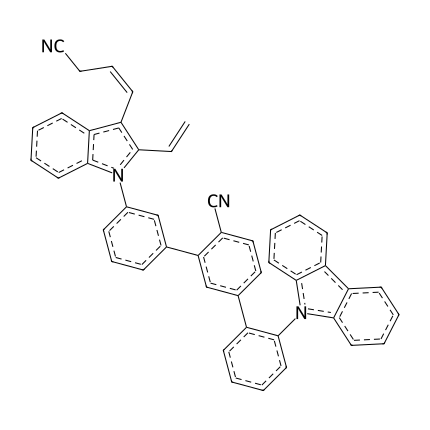 C=Cc1c(/C=C\CC#N)c2ccccc2n1-c1cccc(-c2cc(-c3ccccc3-n3c4ccccc4c4ccccc43)ccc2C#N)c1